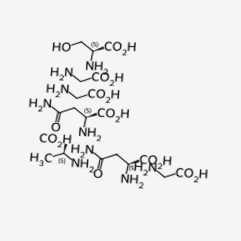 C[C@H](N)C(=O)O.NC(=O)C[C@H](N)C(=O)O.NC(=O)C[C@H](N)C(=O)O.NCC(=O)O.NCC(=O)O.NCC(=O)O.N[C@@H](CO)C(=O)O